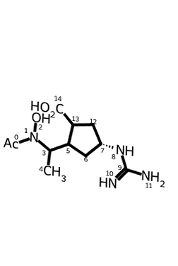 CC(=O)N(O)C(C)C1C[C@@H](NC(=N)N)CC1C(=O)O